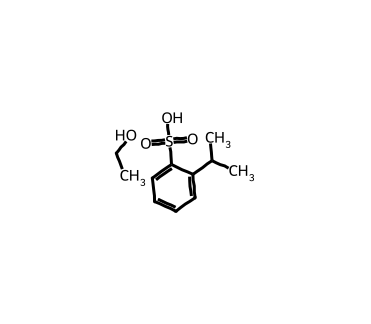 CC(C)c1ccccc1S(=O)(=O)O.CCO